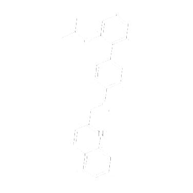 CC(C)Oc1ccccc1-c1ccc(OCc2ccc3ccccc3n2)cc1